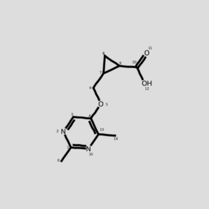 Cc1ncc(OCC2CC2C(=O)O)c(C)n1